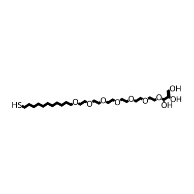 OC=C(O)[C@@H](O)OCCOCCOCCOCCOCCOCCOCCCCCCCCCCCS